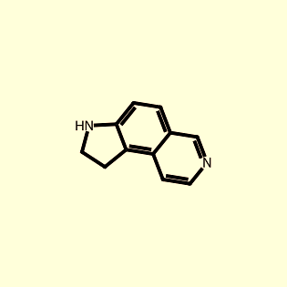 c1cc2c3c(ccc2cn1)NCC3